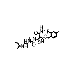 CCC(C)NCCNC(=O)Nc1snc(OCc2ccc(C)cc2F)c1C(N)=O